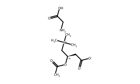 CC(=O)O[C@H](CC(=O)[O-])C[N+](C)(C)C.NCC(=O)O